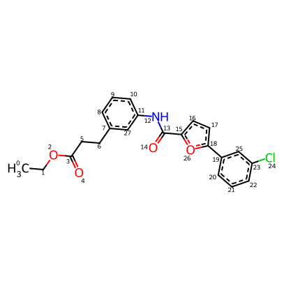 CCOC(=O)CCc1cccc(NC(=O)c2ccc(-c3cccc(Cl)c3)o2)c1